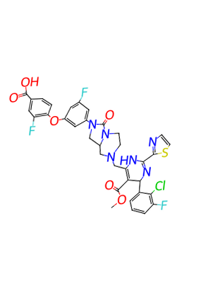 COC(=O)C1=C(CN2CCN3C(=O)N(c4cc(F)cc(Oc5ccc(C(=O)O)cc5F)c4)CC3C2)NC(c2nccs2)=NC1c1cccc(F)c1Cl